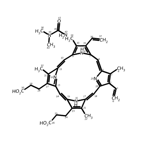 C=CC1=C(C)c2cc3[nH]c(cc4nc(cc5[nH]c(cc1n2)c(C)c5CCC(=O)O)C(CCC(=O)O)=C4C)c(C)c3C=C.CN(C)C(N)=O